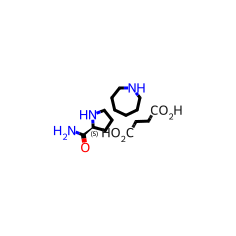 C1CCCNCC1.NC(=O)[C@@H]1CCCN1.O=C(O)CCC(=O)O